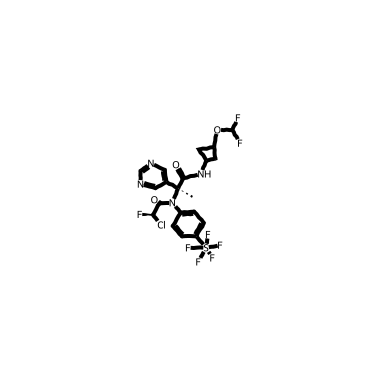 C[C@@](C(=O)NC1CC(OC(F)F)C1)(c1cncnc1)N(C(=O)[C@H](F)Cl)c1ccc(S(F)(F)(F)(F)F)cc1